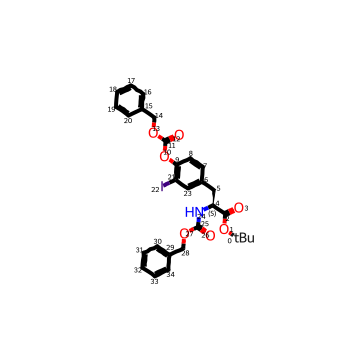 CC(C)(C)OC(=O)[C@H](Cc1ccc(OC(=O)OCc2ccccc2)c(I)c1)NC(=O)OCc1ccccc1